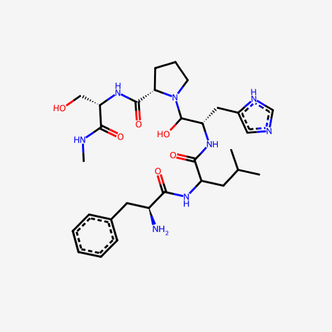 CNC(=O)[C@H](CO)NC(=O)[C@@H]1CCCN1C(O)[C@H](Cc1cnc[nH]1)NC(=O)C(CC(C)C)NC(=O)[C@@H](N)Cc1ccccc1